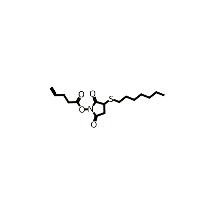 C=CCCC(=O)ON1C(=O)CC(SCCCCCCC)C1=O